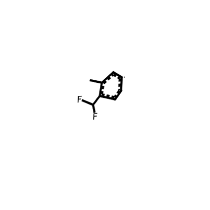 Cc1c[c]ccc1C(F)F